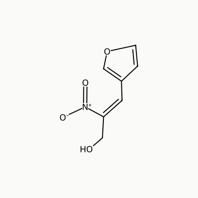 O=[N+]([O-])C(=Cc1ccoc1)CO